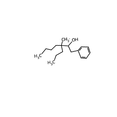 [CH2]C(CCC)(CCCC)C(O)Cc1ccccc1